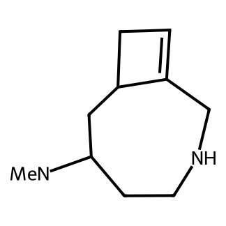 CNC1CCNCC2=CCC2C1